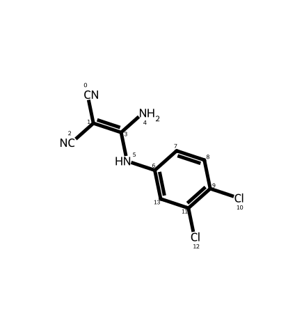 N#CC(C#N)=C(N)Nc1ccc(Cl)c(Cl)c1